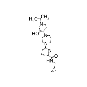 CC(C)N1CCC(N2CCCN(c3cccc(C(=O)NCC4CC4)n3)CC2)[C@H](O)C1